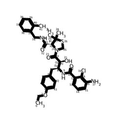 CCOc1ccc(C[C@H](NC(=O)c2cccc(N)c2Cl)[C@H](O)C(=O)N2CSC(C)(C)[C@H]2C(=O)NCc2ccccc2C)cc1